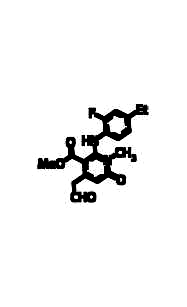 CCc1ccc(Nc2c(C(=O)OC)c(CC=O)cc(=O)n2C)c(F)c1